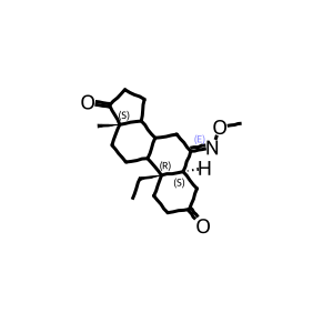 CC[C@]12CCC(=O)C[C@@H]1/C(=N/OC)CC1C2CC[C@]2(C)C(=O)CCC12